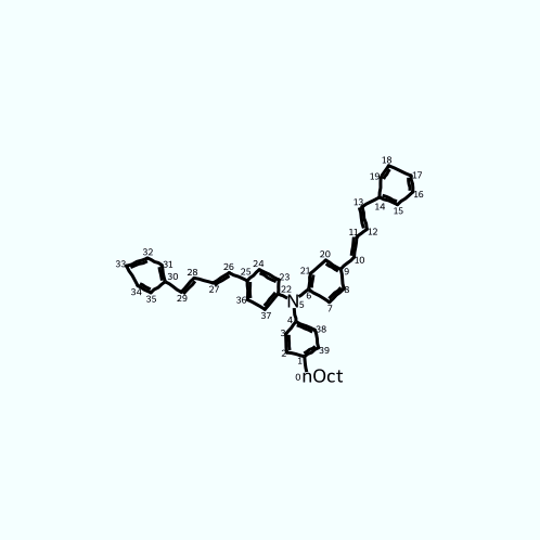 CCCCCCCCc1ccc(N(c2ccc(/C=C/C=C/c3ccccc3)cc2)c2ccc(/C=C/C=C/c3ccccc3)cc2)cc1